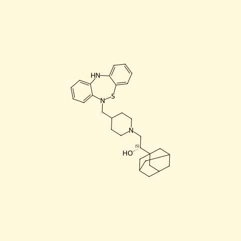 O[C@H](CN1CCC(Cn2sc3ccccc3[nH]c3ccccc32)CC1)C12CC3CC(CC(C3)C1)C2